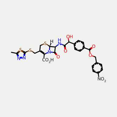 Cc1nnc(SCC2=C(C(=O)O)N3C(=O)C(NC(=O)C(O)c4ccc(C(=O)OCc5ccc([N+](=O)[O-])cc5)cc4)[C@H]3SC2)s1